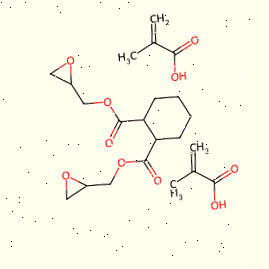 C=C(C)C(=O)O.C=C(C)C(=O)O.O=C(OCC1CO1)C1CCCCC1C(=O)OCC1CO1